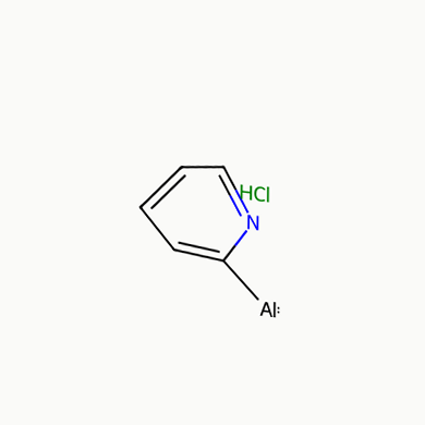 Cl.[Al][c]1ccccn1